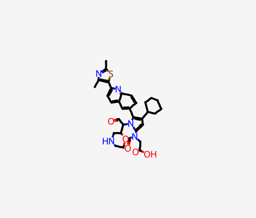 Cc1nc(C)c(-c2ccc3cc(-c4c(C5CCCCC5)cc(N(C=O)CC(=O)O)n4C(C=O)C4CNCCO4)ccc3n2)s1